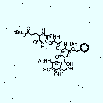 CC(=O)NC1C(O)[C@H](O)[C@H](CO)O[C@H]1O[C@@H]1C(CO)O[C@H](OCc2ccccc2)C(NC(C)=O)[C@H]1O[C@H](C)C(=O)N[C@@H](C)C(=O)NC(CCC(=O)OC(C)(C)C)C(N)=O